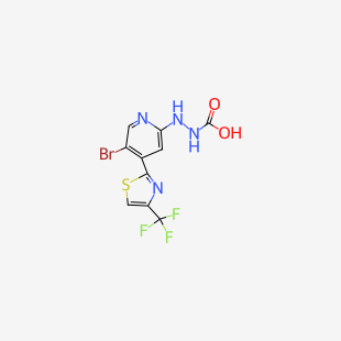 O=C(O)NNc1cc(-c2nc(C(F)(F)F)cs2)c(Br)cn1